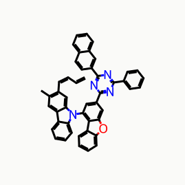 C=C/C=C\c1cc2c(cc1C)c1ccccc1n2-c1cc(-c2nc(-c3ccccc3)nc(-c3ccc4ccccc4c3)n2)cc2oc3ccccc3c12